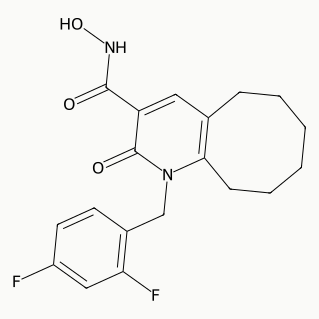 O=C(NO)c1cc2c(n(Cc3ccc(F)cc3F)c1=O)CCCCCC2